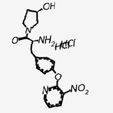 Cl.Cl.N[C@@H](Cc1ccc(Oc2ncccc2[N+](=O)[O-])cc1)C(=O)N1CC[C@@H](O)C1